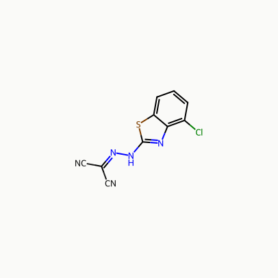 N#CC(C#N)=NNc1nc2c(Cl)cccc2s1